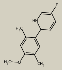 COc1cc(C)c(C2C=CC(F)=CN2)cc1C